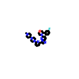 CN1CCC(N2CCN(c3cccc(-c4cnc5ccc(N6CCOCC6c6cccc(F)c6)nn45)n3)CC2)CC1